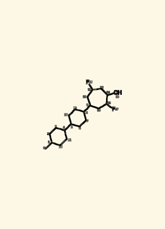 CC1CCC(C2CCC(C3CC(F)CC(O)C(F)C3)CC2)CC1